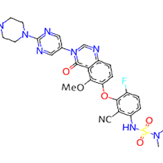 CCN(C)S(=O)(=O)Nc1ccc(F)c(Oc2ccc3ncn(-c4cnc(N5CCNCC5)nc4)c(=O)c3c2OC)c1C#N